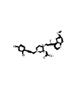 COc1ccc2nccc([C@@H](F)CC[C@@H]3CCN(CC#Cc4ccc(Cl)cc4Cl)C[C@@H]3CC(=O)O)c2c1